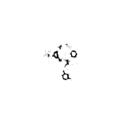 CC(C)c1cccc(CNC[C@@H](O)[C@@H]2Cc3cccc(c3)OCCCCNc3cc(NS(C)(=O)=O)cc(c3)C(=O)N2)c1